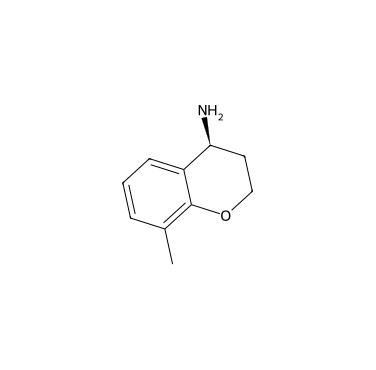 Cc1cccc2c1OCC[C@@H]2N